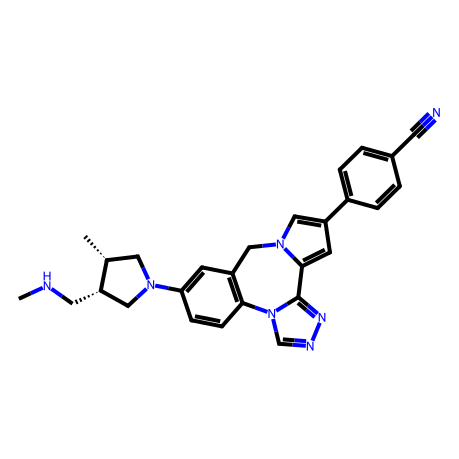 CNC[C@H]1CN(c2ccc3c(c2)Cn2cc(-c4ccc(C#N)cc4)cc2-c2nncn2-3)C[C@H]1C